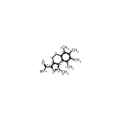 Cc1c(C)c(C)c2c(c1C)CCc1c(C(=O)C(C)C)nn(C)c1-2